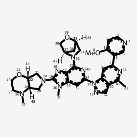 COc1ccncc1-c1cc2c(cnn2-c2cc3c(nc(N4C[C@H]5OCCN(C)[C@H]5C4)n3C)c(N3C[C@H]4C[C@@H]3CO4)n2)c(C)n1